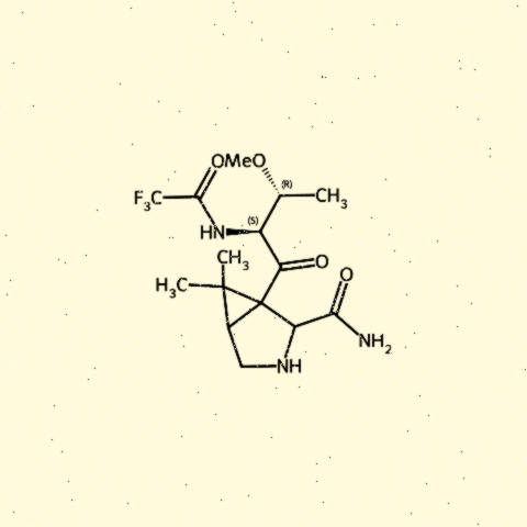 CO[C@H](C)[C@H](NC(=O)C(F)(F)F)C(=O)C12C(C(N)=O)NCC1C2(C)C